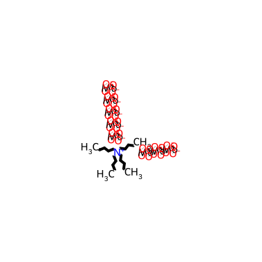 CCCCC[N+](CCCCC)(CCCCC)CCCCC.[O]=[Mo](=[O])([O-])[O-].[O]=[Mo](=[O])([O-])[O-].[O]=[Mo](=[O])([O-])[O-].[O]=[Mo](=[O])([O-])[O-].[O]=[Mo](=[O])([O-])[O-].[O]=[Mo](=[O])([O-])[O-].[O]=[Mo](=[O])([O-])[O-].[O]=[Mo](=[O])([O-])[O-]